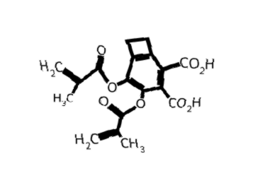 C=C(C)C(=O)Oc1c2c(c(C(=O)O)c(C(=O)O)c1OC(=O)C(=C)C)CC2